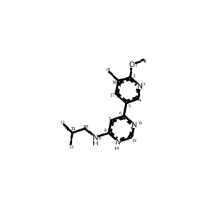 COc1ncc(-c2cc(NCC(C)C)ncn2)cc1C